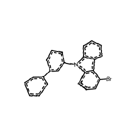 Brc1cccc2c1c1ccccc1n2-c1cccc(-c2ccccc2)c1